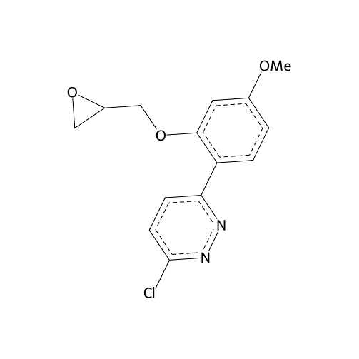 COc1ccc(-c2ccc(Cl)nn2)c(OCC2CO2)c1